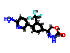 Nc1ccc(-c2ccc(C3=NNC(=O)OC3)cc2C(F)(F)F)cn1